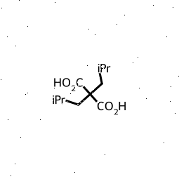 CC(C)CC(CC(C)C)(C(=O)O)C(=O)O